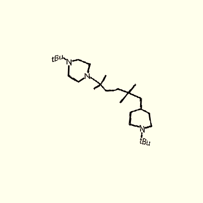 CC(C)(CCC(C)(C)N1CCN(C(C)(C)C)CC1)CC1CCN(C(C)(C)C)CC1